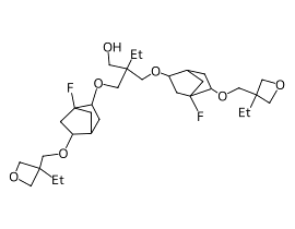 CCC1(COC2CC3(F)CC2CC3OCC(CC)(CO)COC2CC3(F)CC2CC3OCC2(CC)COC2)COC1